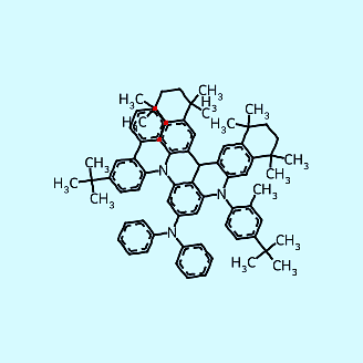 Cc1cc(C(C)(C)C)ccc1N1c2cc3c(cc2C2c4cc5c(cc4N(c4ccc(C(C)(C)C)cc4-c4ccccc4)c4cc(N(c6ccccc6)c6ccccc6)cc1c42)C(C)(C)CCC5(C)C)C(C)(C)CCC3(C)C